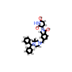 CC1(C)CN(Cc2ccc3c(c2)CN(C2CCC(=O)NC2=O)C3=O)CCN1C(c1ccccc1)c1ccccc1